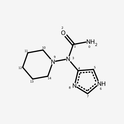 NC(=O)N(c1c[nH]cn1)N1CCCCC1